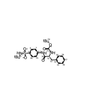 CC(C)(C)NS(=O)(=O)c1ccc(NC(=O)[C@H](Cc2ccccc2)NC(=O)OC(C)(C)C)cc1